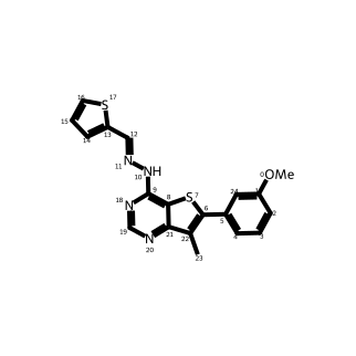 COc1cccc(-c2sc3c(NN=Cc4cccs4)ncnc3c2C)c1